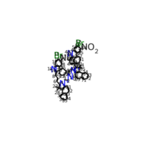 CN(CC[N+]1=C(/C=C/C=C2/N(C)c3cc(Br)c([N+](=O)[O-])cc3C23CCCCC3)C(C)(C)c2c1ccc1ccccc21)CC[N+]1=C(/C=C/C=C2/N(C)c3cc(Br)c([N+](=O)[O-])cc3C23CCCCC3)C(C)(C)c2c1ccc1ccccc21